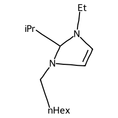 CCCCCCCN1C=CN(CC)C1C(C)C